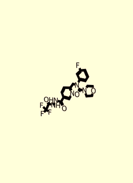 O=C(NNC(=O)C(F)(F)F)c1ccc(CN(C(=O)N2CCOCC2)c2cccc(F)c2)nc1